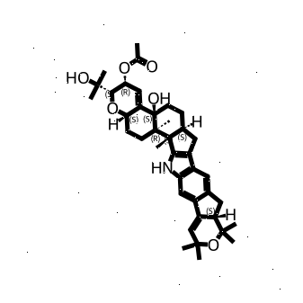 CC(=O)O[C@@H]1C=C2[C@H](CC[C@@]3(C)[C@@]2(O)CC[C@H]2Cc4c([nH]c5cc6c(cc45)C[C@H]4C6=CC(C)(C)OC4(C)C)[C@@]23C)O[C@@H]1C(C)(C)O